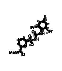 CNC(=O)c1cncc(S(=O)(=O)NC(=O)Nc2c(C(C)C)cc(F)cc2C(C)C)n1